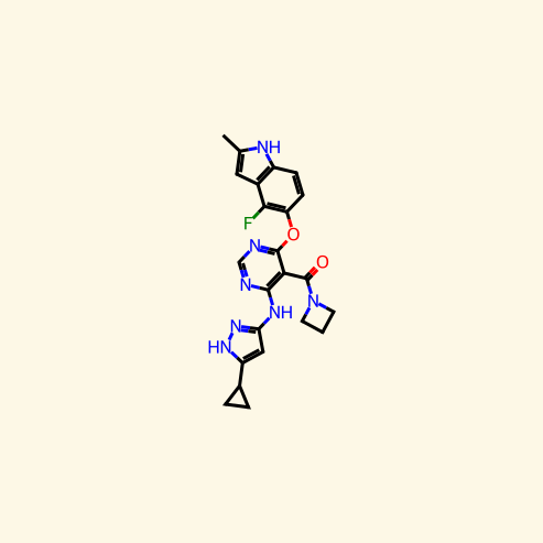 Cc1cc2c(F)c(Oc3ncnc(Nc4cc(C5CC5)[nH]n4)c3C(=O)N3CCC3)ccc2[nH]1